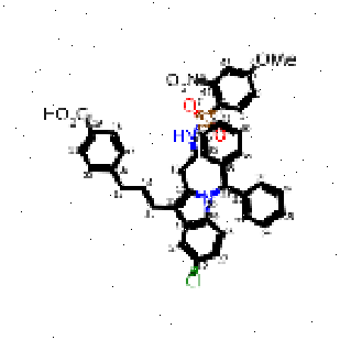 COc1ccc(S(=O)(=O)NCCc2c(CCCc3ccc(C(=O)O)cc3)c3cc(Cl)ccc3n2C(c2ccccc2)c2ccccc2)c([N+](=O)[O-])c1